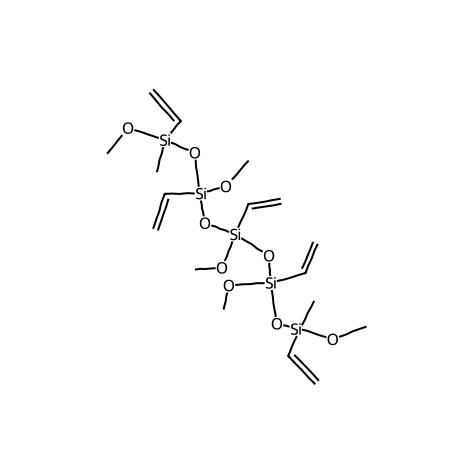 C=C[Si](C)(OC)O[Si](C=C)(OC)O[Si](C=C)(OC)O[Si](C=C)(OC)O[Si](C)(C=C)OC